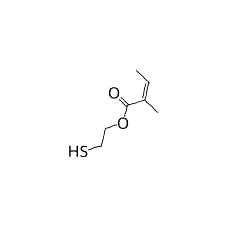 CC=C(C)C(=O)OCCS